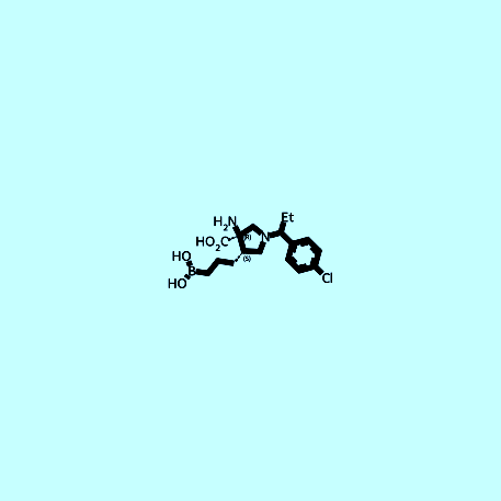 CCC(c1ccc(Cl)cc1)N1C[C@H](CCCB(O)O)[C@](N)(C(=O)O)C1